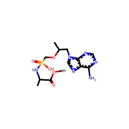 CC(C)OC(=O)C(C)NP(=O)(O)COC(C)Cn1cnc2c(N)ncnc21